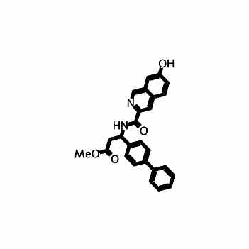 COC(=O)CC(NC(=O)c1cc2ccc(O)cc2cn1)c1ccc(-c2ccccc2)cc1